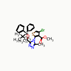 COC(=O)c1c(Br)csc1-n1c(C)nnc1[C@H](C)O[Si](c1ccccc1)(c1ccccc1)C(C)(C)C